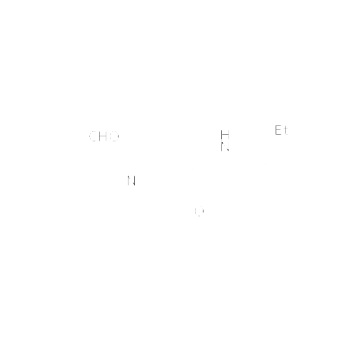 CCC(C)(C)NC(=O)CN1CCCCC1C=O